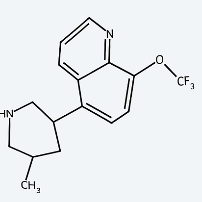 CC1CNCC(c2ccc(OC(F)(F)F)c3ncccc23)C1